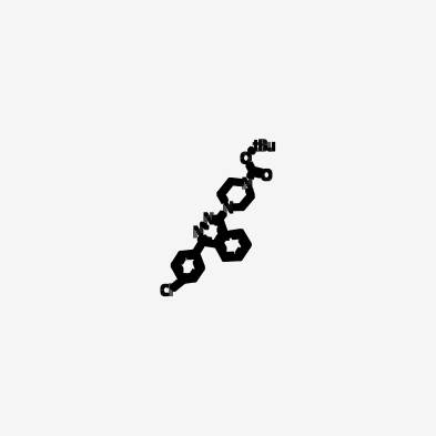 CC(C)(C)OC(=O)N1CCN(c2nnc(-c3ccc(Cl)cc3)c3ccccc23)CC1